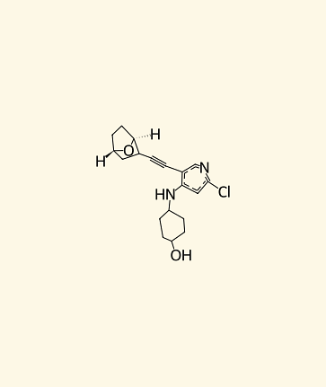 OC1CCC(Nc2cc(Cl)ncc2C#CC2C[C@@H]3CC[C@@H]2O3)CC1